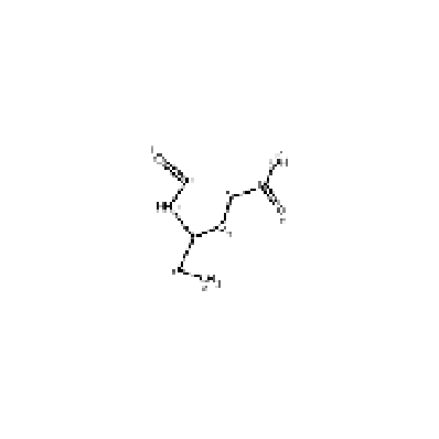 CCC(NC=O)SCC(=O)O